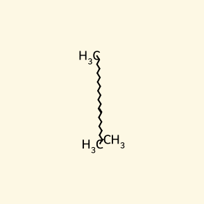 CCCCCCCCCCCCC=CCCCCCC(C)C